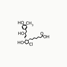 Cc1cc(C[C@@H](O)/C=C/[C@@H]2[C@@H](CCCCCCC(=O)O)[C@H](Cl)C[C@H]2O)ccc1O